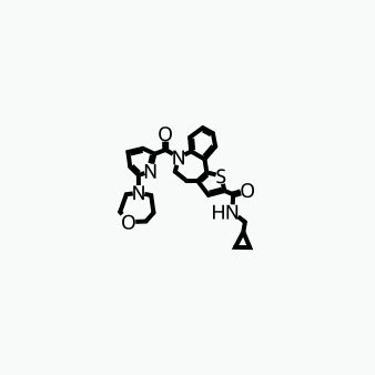 O=C(NCC1CC1)c1cc2c(s1)-c1ccccc1N(C(=O)c1cccc(N3CCCOCC3)n1)CC2